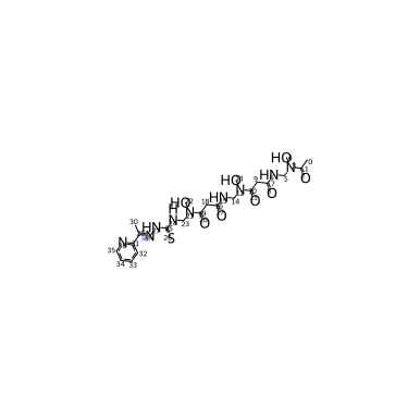 CC(=O)N(O)CNC(=O)CC(=O)N(O)CNC(=O)CC(=O)N(O)CNC(=S)N/N=C(\C)c1ccccn1